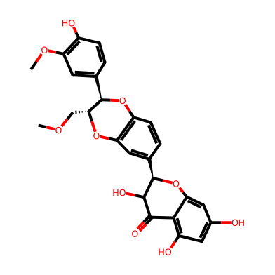 COC[C@H]1Oc2cc([C@H]3Oc4cc(O)cc(O)c4C(=O)C3O)ccc2O[C@@H]1c1ccc(O)c(OC)c1